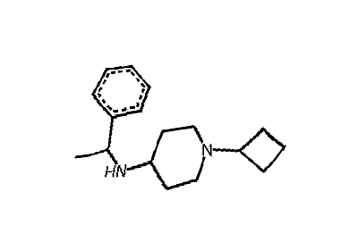 CC(NC1CCN(C2CCC2)CC1)c1ccccc1